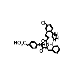 O=C(O)Cc1ccc(NC(=O)[C@H](Cc2ccccc2)NC(=O)C=Cc2cc(Cl)ccc2-n2cnnn2)cc1